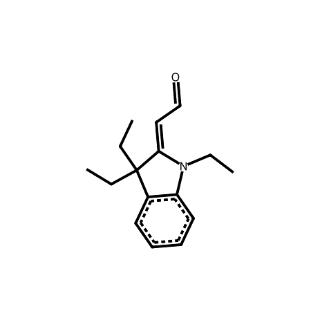 CCN1C(=CC=O)C(CC)(CC)c2ccccc21